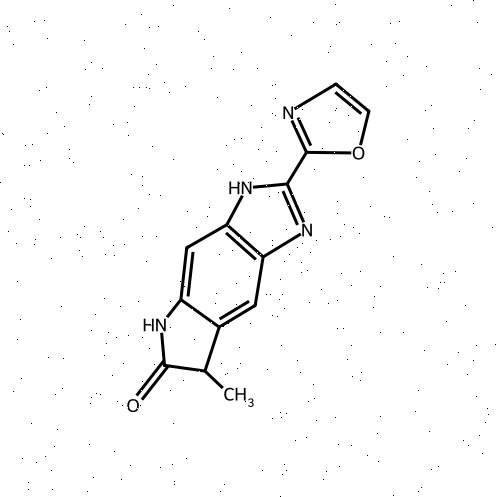 CC1C(=O)Nc2cc3[nH]c(-c4ncco4)nc3cc21